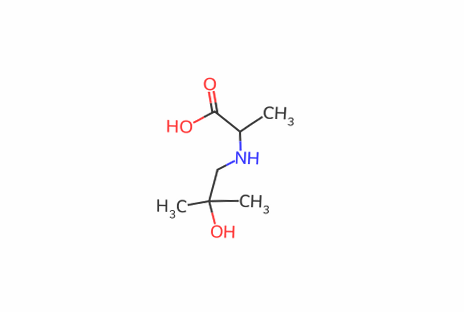 CC(NCC(C)(C)O)C(=O)O